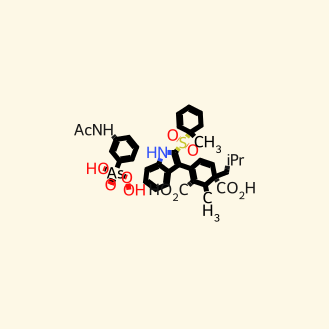 CC(=O)Nc1cccc([As](=O)(O)OO)c1.CC(C)CC1(C(=O)O)C=CC(c2c(S(=O)(=O)C3(C)C=CC=CC3)[nH]c3ccccc23)=C(C(=O)O)C1C